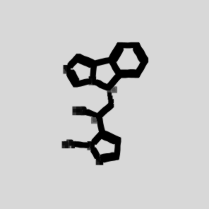 CCCn1nccc1[C@@H](O)C[C@H]1c2ccccc2-c2cncn21